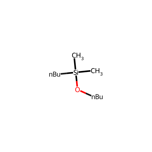 CCCCO[Si](C)(C)CCCC